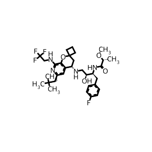 CO[C@H](C)C(=O)N[C@@H](Cc1ccc(F)cc1)[C@@H](O)CN[C@H]1CC2(CCC2)Oc2c1cc(CC(C)(C)C)nc2NCC(F)(F)F